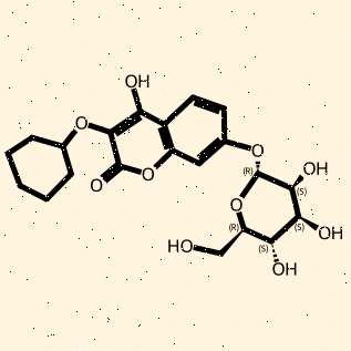 O=c1oc2cc(O[C@H]3O[C@H](CO)[C@@H](O)[C@H](O)[C@@H]3O)ccc2c(O)c1OC1CCCCC1